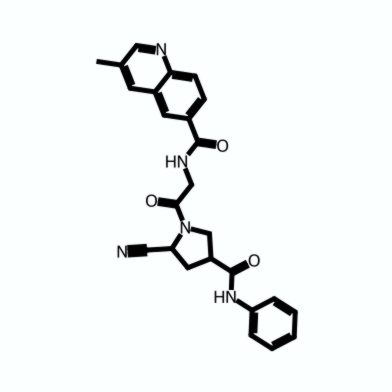 Cc1cnc2ccc(C(=O)NCC(=O)N3CC(C(=O)Nc4ccccc4)CC3C#N)cc2c1